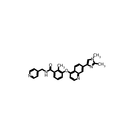 Cc1c(Oc2ccnc3cc(-c4cn(C)c(C)n4)ccc23)cccc1C(=O)NCc1ccncc1